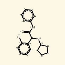 O=C(Nc1ccccn1)C(SC1CCCC1)c1ccccc1Cl